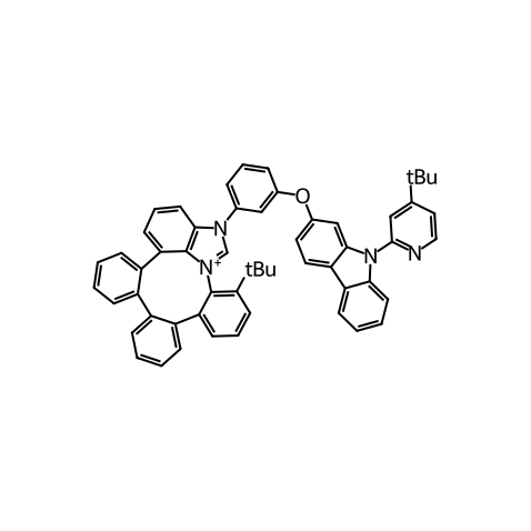 CC(C)(C)c1ccnc(-n2c3ccccc3c3ccc(Oc4cccc(-n5c[n+]6c7c(cccc75)-c5ccccc5-c5ccccc5-c5cccc(C(C)(C)C)c5-6)c4)cc32)c1